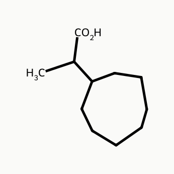 CC(C(=O)O)C1CCCCCCC1